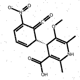 COC1=C(C)NC(C)=C(C(=O)O)[C@@H]1C1C=CC=C([N+](=O)[O-])C1=C=O